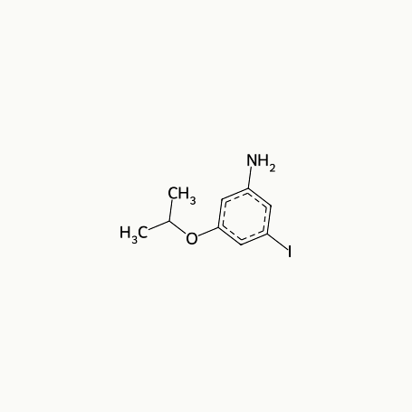 CC(C)Oc1cc(N)cc(I)c1